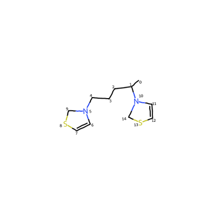 CC(CCCN1C=CSC1)N1C=CSC1